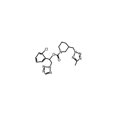 Cc1nnn(CC2CCCN(C(=O)OC(Cn3ncnn3)c3ccccc3Cl)C2)n1